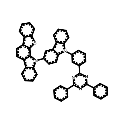 c1ccc(-c2nc(-c3ccccc3)nc(-c3cccc(-n4c5ccccc5c5cc(-n6c7ccccc7c7ccc8c9ccccc9sc8c76)ccc54)c3)n2)cc1